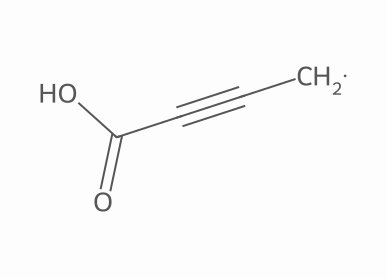 [CH2]C#CC(=O)O